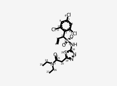 C=CC(c1c(Cl)cc(Cl)cc1Cl)S(=O)(=O)Nc1nnc(CC(=O)N(CC)CC)s1